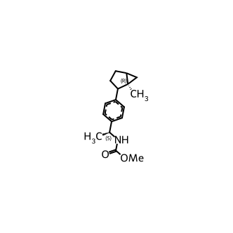 COC(=O)N[C@@H](C)c1ccc(C2CCC3C[C@]32C)cc1